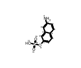 Nc1ccc2ccc(OS(=O)(=O)O)cc2c1